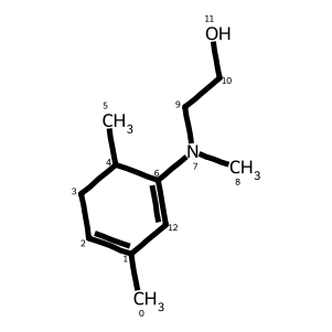 CC1=CCC(C)C(N(C)CCO)=C1